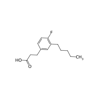 CCCCCc1cc(CCC(=O)O)ccc1F